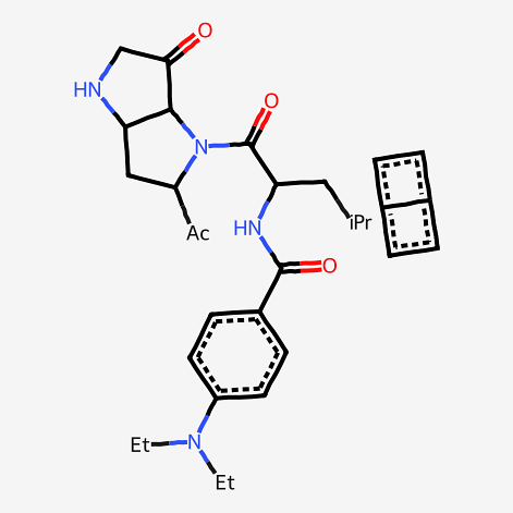 CCN(CC)c1ccc(C(=O)NC(CC(C)C)C(=O)N2C(C(C)=O)CC3NCC(=O)C32)cc1.c1cc2ccc1-2